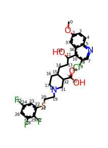 COc1ccc2ncc(Cl)c(C(O)CCC3CCN(CCSc4cc(F)cc(F)c4F)CC3C(=O)O)c2c1